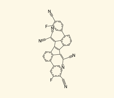 N#CC(C#N)=C1C2=C(C(=C(C#N)C#N)c3c2cccc3-c2ccc(C#N)c(F)c2)c2cccc(-c3ccc(C#N)c(F)c3)c21